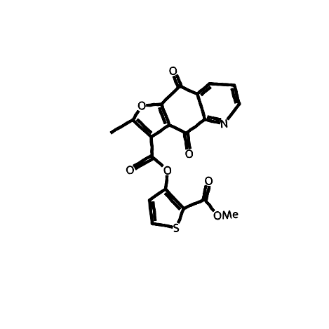 COC(=O)c1sccc1OC(=O)c1c(C)oc2c1C(=O)c1ncccc1C2=O